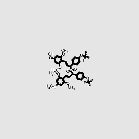 COc1cc(OC)c(C=CC(c2ccc(OC(F)(F)F)cc2)S(=O)(=O)C(C=Cc2c(OC)cc(OC)cc2OC)c2ccc(OC(F)(F)F)cc2)c(OC)c1